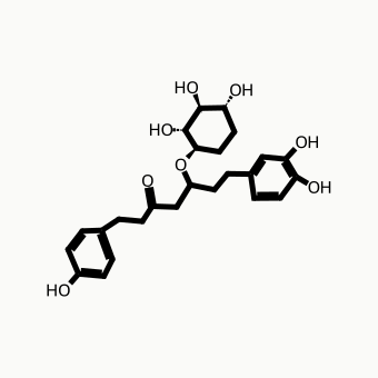 O=C(CCc1ccc(O)cc1)CC(CCc1ccc(O)c(O)c1)O[C@@H]1CC[C@@H](O)[C@H](O)[C@H]1O